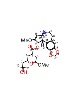 COC(=O)C[C@H](CCCC(C)(C)O)C(=O)O[C@@H]1C(OC)=C[C@]23CCCN2CCc2cc4c(cc2[C@H]13)OCO4